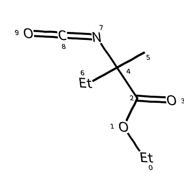 CCOC(=O)C(C)(CC)N=C=O